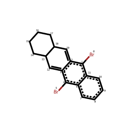 Brc1c2c(c(Br)c3ccccc13)=CC1CCCCC1C=2